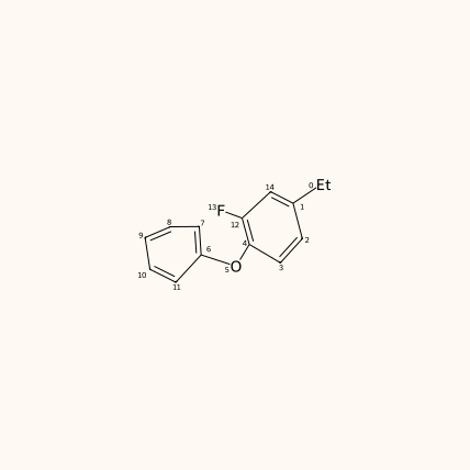 CCc1ccc(Oc2ccccc2)c(F)c1